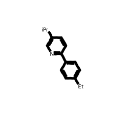 CCc1ccc(-c2ccc(C(C)C)cn2)cc1